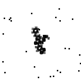 NC(=O)c1cc(Cc2ccccc2)sc1NC(=O)c1ccc2c(c1)OCO2